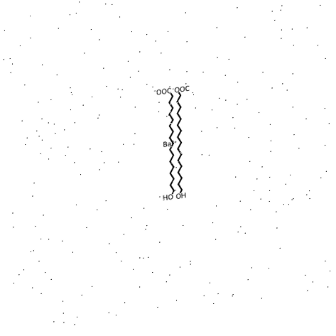 O=C([O-])CCCCCCCCCCCCCCCCCO.O=C([O-])CCCCCCCCCCCCCCCCCO.[Ba+2]